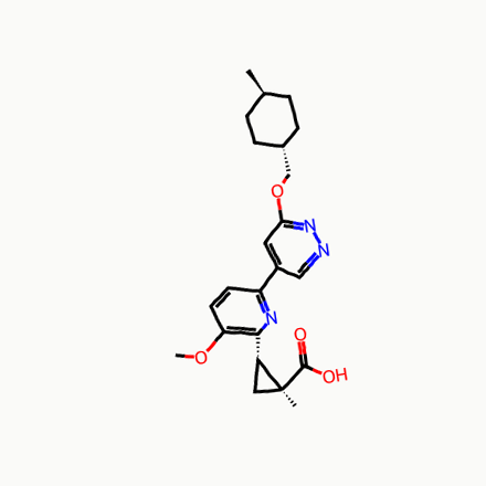 COc1ccc(-c2cnnc(OC[C@H]3CC[C@H](C)CC3)c2)nc1[C@H]1C[C@]1(C)C(=O)O